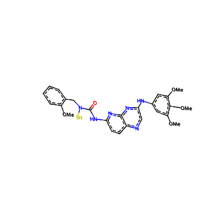 COc1ccccc1CN(S)C(=O)Nc1ccc2ncc(Nc3cc(OC)c(OC)c(OC)c3)nc2n1